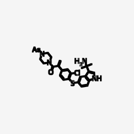 C=C(C(=O)N1CCN(C(C)=O)CC1)c1ccc(Sc2ccc3[nH]cc(C(C)(C)N)c3c2)c(Cl)c1